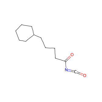 O=C=NC(=O)CCCCC1CCCCC1